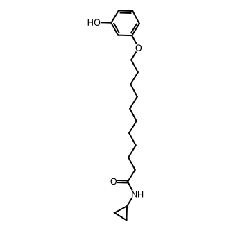 O=C(CCCCCCCCCCOc1cccc(O)c1)NC1CC1